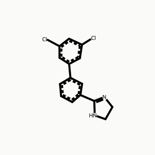 Clc1cc(Cl)cc(-c2cccc(C3=NCCN3)c2)c1